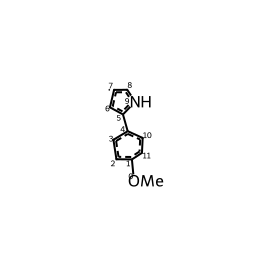 COc1ccc(-c2c[c]c[nH]2)cc1